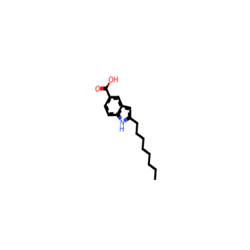 CCCCCCCCc1cc2cc(C(=O)O)ccc2[nH]1